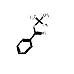 CC(C)(C)OC(=N)c1[c]cccc1